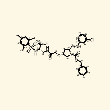 Cc1cc(C)c(S(=O)(=O)N[C@@H](CNC(=O)CO[C@@H]2C[C@@H](CNc3cc(Cl)ccn3)N(C(=O)OCc3ccccc3)C2)C(=O)O)c(C)c1